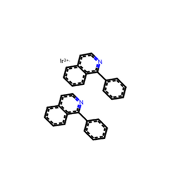 [Ir+2].c1ccc(-c2nccc3ccccc23)cc1.c1ccc(-c2nccc3ccccc23)cc1